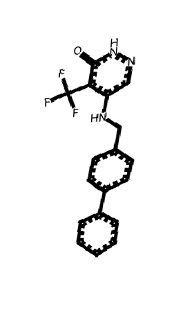 O=c1[nH]ncc(NCc2ccc(-c3ccccc3)cc2)c1C(F)(F)F